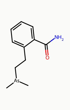 C[As](C)CCc1ccccc1C(N)=O